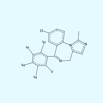 [2H]c1c([2H])c([2H])c(C2=NCc3cnc(C)n3-c3ccc(Cl)cc32)c(F)c1[2H]